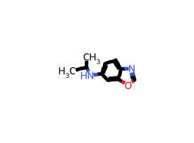 CC(C)Nc1ccc2ncoc2c1